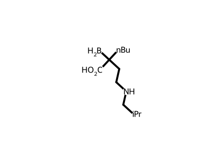 BC(CCCC)(CCNCC(C)C)C(=O)O